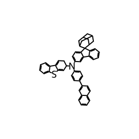 C1=c2sc3ccccc3c2=CCC1N(c1ccc(-c2ccc3ccccc3c2)cc1)c1ccc2c(c1)-c1ccccc1C21C2CC3CC(C2)CC1C3